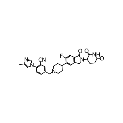 Cc1cn(-c2ccc(CN3CCC(c4cc5c(cc4F)C(=O)N(C4CCC(=O)NC4=O)C5)CC3)cc2C#N)cn1